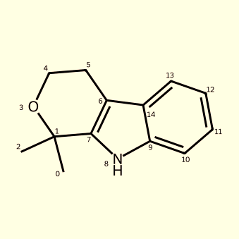 CC1(C)OCCc2c1[nH]c1ccccc21